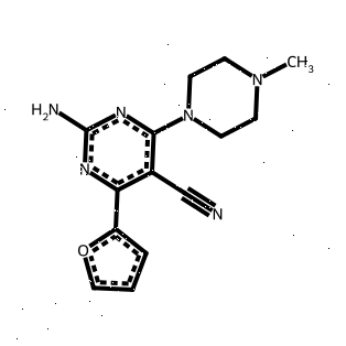 CN1CCN(c2nc(N)nc(-c3ccco3)c2C#N)CC1